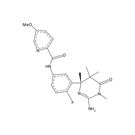 COc1ccc(C(=O)Nc2ccc(F)c([C@@]3(C)N=C(N)N(C)C(=O)C3(C)C)c2)nc1